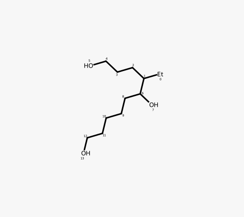 CCC(CCCO)C(O)CCCCCO